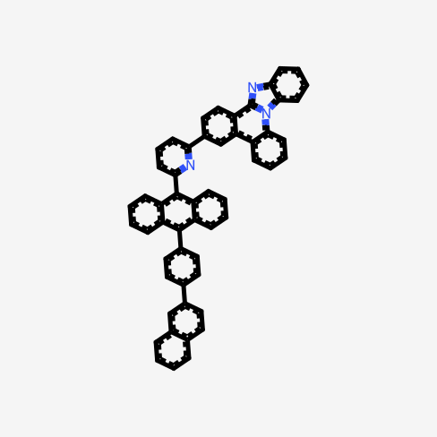 c1cc(-c2ccc3c(c2)c2ccccc2n2c4ccccc4nc32)nc(-c2c3ccccc3c(-c3ccc(-c4ccc5ccccc5c4)cc3)c3ccccc23)c1